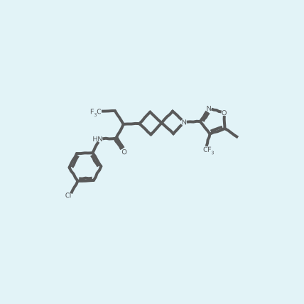 Cc1onc(N2CC3(CC(C(CC(F)(F)F)C(=O)Nc4ccc(Cl)cc4)C3)C2)c1C(F)(F)F